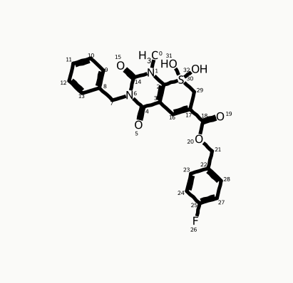 Cn1c2c(c(=O)n(Cc3ccccc3)c1=O)C=C(C(=O)OCc1ccc(F)cc1)CS2(O)O